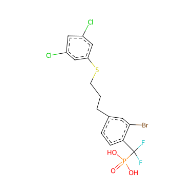 O=P(O)(O)C(F)(F)c1ccc(CCCSc2cc(Cl)cc(Cl)c2)cc1Br